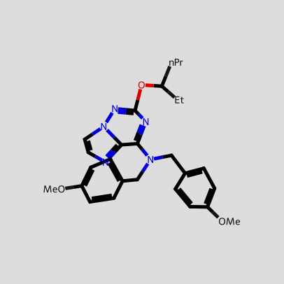 CCCC(CC)Oc1nc(N(Cc2ccc(OC)cc2)Cc2ccc(OC)cc2)c2nccn2n1